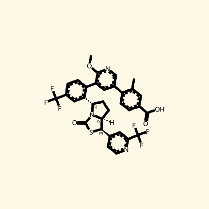 COc1ncc(-c2ccc(C(=O)O)cc2C)cc1-c1ccc(C(F)(F)F)cc1[C@@H]1CC[C@H]2[C@@H](c3ccnc(C(F)(F)F)c3)SC(=O)N12